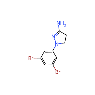 NC1=NN(c2cc(Br)cc(Br)c2)CC1